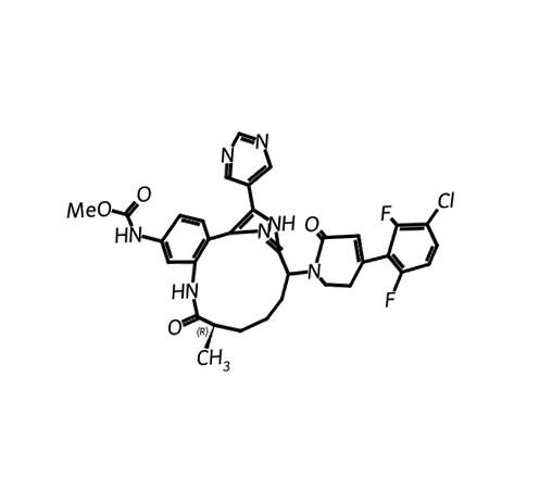 COC(=O)Nc1ccc2c(c1)NC(=O)[C@H](C)CCCC(N1CCC(c3c(F)ccc(Cl)c3F)=CC1=O)c1nc-2c(-c2cncnc2)[nH]1